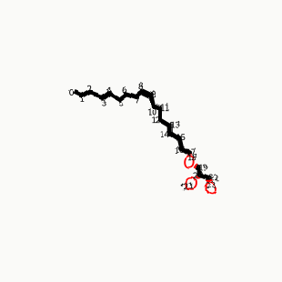 CCCCCCCC/C=C\CCCCCCCCOCC([O])C=O